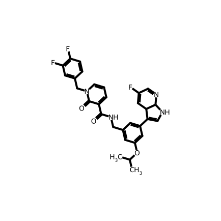 CC(C)Oc1cc(CNC(=O)c2cccn(Cc3ccc(F)c(F)c3)c2=O)cc(C2=CNC3N=CC(F)=CC23)c1